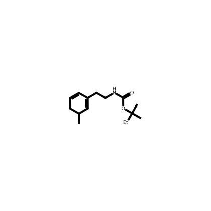 CCC(C)(C)OC(=O)NCCC1=CC(C)CC=C1